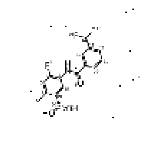 Cc1cc(F)c(NC(=O)c2cccc(C(F)F)c2)cc1B(O)O